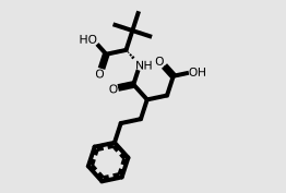 CC(C)(C)[C@H](NC(=O)C(CCc1ccccc1)CC(=O)O)C(=O)O